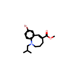 COC(=O)/C1=C/c2cc(Br)ccc2N(CC(C)C)CCC1